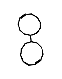 C1=CCCCC(C2CCCC=CCCCCC2)CCCCC1